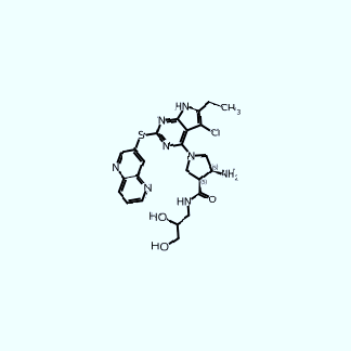 CCc1[nH]c2nc(Sc3cnc4cccnc4c3)nc(N3C[C@@H](N)[C@@H](C(=O)NCC(O)CO)C3)c2c1Cl